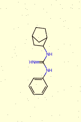 N=C(Nc1ccccc1)NC1CC2CCC1C2